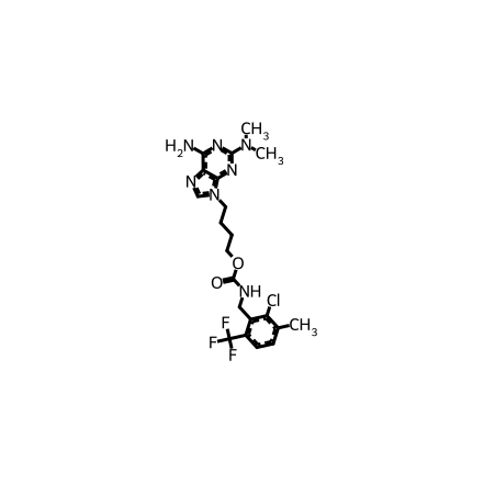 Cc1ccc(C(F)(F)F)c(CNC(=O)OCCCCn2cnc3c(N)nc(N(C)C)nc32)c1Cl